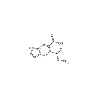 COC(=O)c1cc2cc[nH]c2cc1C(=O)O